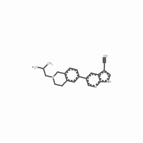 C#Cc1c[nH]c2ncc(-c3ccc4c(c3)CCN(C[C](C)C)C4)cc12